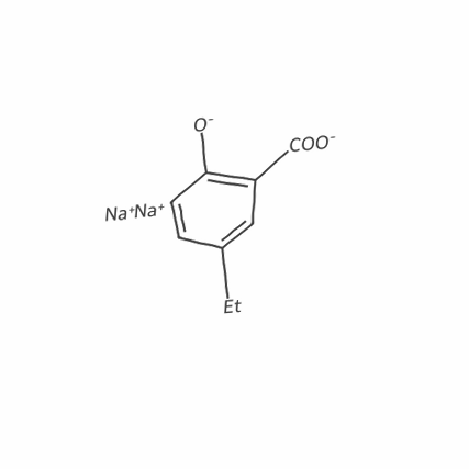 CCc1ccc([O-])c(C(=O)[O-])c1.[Na+].[Na+]